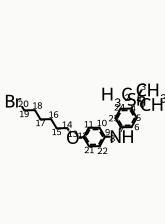 [CH3][Sn]([CH3])([CH3])[c]1ccc(Nc2ccc(OCCCCCCBr)cc2)cc1